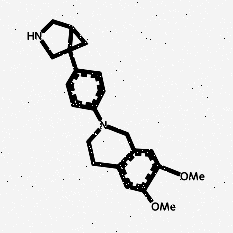 COc1cc2c(cc1OC)CN(c1ccc(C34CNCC3C4)cc1)CC2